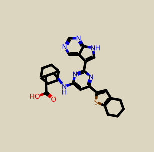 O=C(O)C1C2CCC(CC2)C1Nc1cc(-c2cc3c(s2)CCCC3)nc(-c2c[nH]c3ncncc23)n1